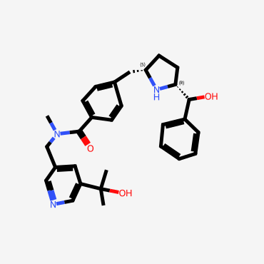 CN(Cc1cncc(C(C)(C)O)c1)C(=O)c1ccc(C[C@@H]2CC[C@H](C(O)c3ccccc3)N2)cc1